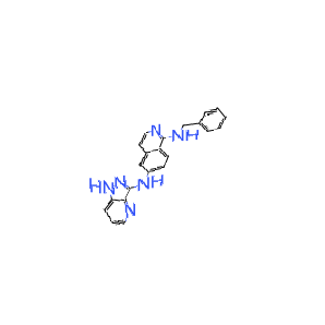 c1ccc(CNc2nccc3cc(Nc4n[nH]c5cccnc45)ccc23)cc1